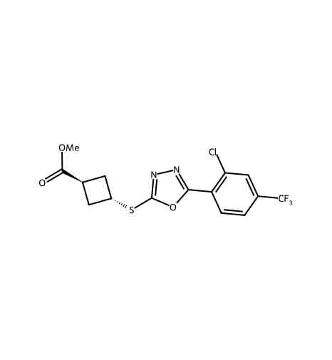 COC(=O)[C@H]1C[C@H](Sc2nnc(-c3ccc(C(F)(F)F)cc3Cl)o2)C1